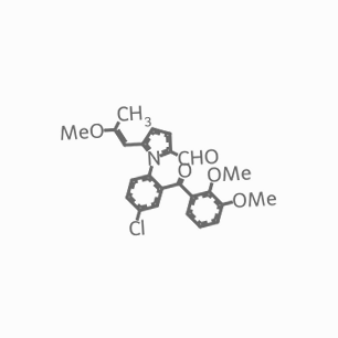 COC(C)=Cc1ccc(C=O)n1-c1ccc(Cl)cc1C(=O)c1cccc(OC)c1OC